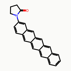 O=C1CCCN1c1ccc2cc3cc4cc5ccccc5cc4cc3cc2c1